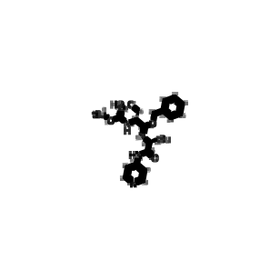 CC(C)(C)OC(=O)N[C@H](CC(=O)O)C(=N[C@H](C(=O)Nc1ccncc1)C(C)(C)C)OCc1ccccc1